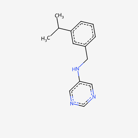 CC(C)c1cccc(CNc2cncnc2)c1